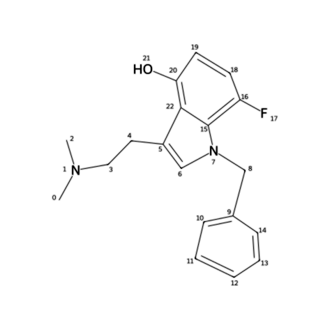 CN(C)CCc1cn(Cc2ccccc2)c2c(F)ccc(O)c12